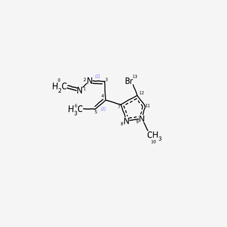 C=N/N=C\C(=C/C)c1nn(C)cc1Br